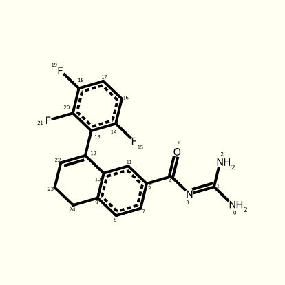 NC(N)=NC(=O)c1ccc2c(c1)C(c1c(F)ccc(F)c1F)=CCC2